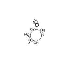 C=CC[C@H]1C(=O)C(C)(C)[C@@H](O)CC(=O)O[C@H](c2ccc3sc(C)nc3c2)C[C@H](O)[C@](C)(I)CCC[C@H](C)[C@@H]1O